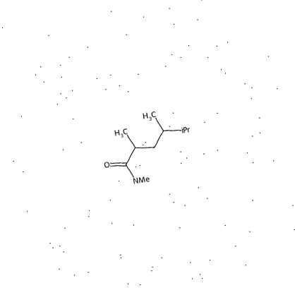 CNC(=O)C(C)CC(C)C(C)C